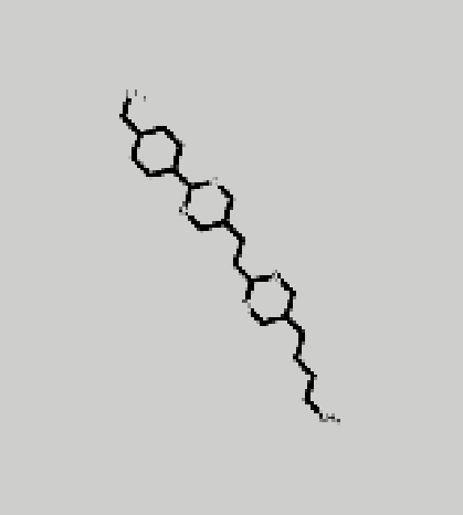 CCCCCC1COC(CCC2COC(C3CCC(CC)CC3)OC2)OC1